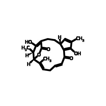 CC1=C[C@H]2CCC3=C(O)[C@H](C)[C@H](OC3=O)/C(C)=C/C/C=C/C(=O)C2=C1O